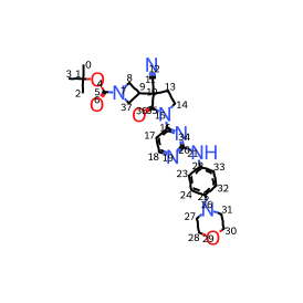 CC(C)(C)OC(=O)N1CC(C2(C#N)CCN(c3ccnc(Nc4ccc(N5CCOCC5)cc4)n3)C2=O)C1